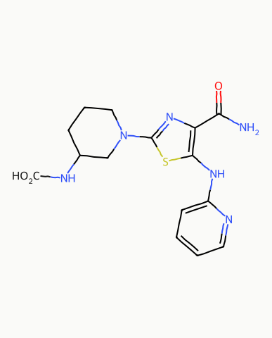 NC(=O)c1nc(N2CCCC(NC(=O)O)C2)sc1Nc1ccccn1